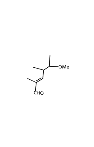 COC(C)C(C)C=C(C)C=O